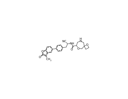 Cn1c(=O)oc2ccc(-c3ccc(CC(C#N)NC(=O)C4CNCC5(CCO5)CO4)cc3)cc21